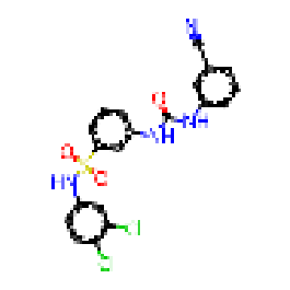 N#Cc1cccc(NC(=O)Nc2cccc(S(=O)(=O)Nc3ccc(Cl)c(Cl)c3)c2)c1